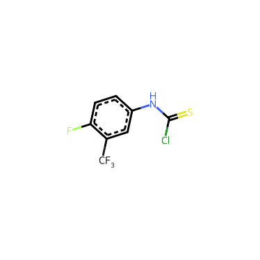 Fc1ccc(NC(=S)Cl)cc1C(F)(F)F